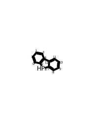 [c]1cccc2c1[pH]c1ccccc12